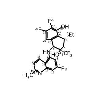 CC[C@@H]1C[C@](O)(C(F)(F)F)[C@@H](Nc2cc(F)cc3nc(C)ncc23)c2cc(F)c(F)c(O)c21